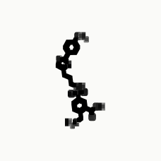 CCc1ccc(S(=O)(=O)NCCCc2csc(-c3ccc(C)cc3)n2)cc1C(=O)O